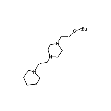 CC(C)(C)OCCN1CCN(CCN2CCCCC2)CC1